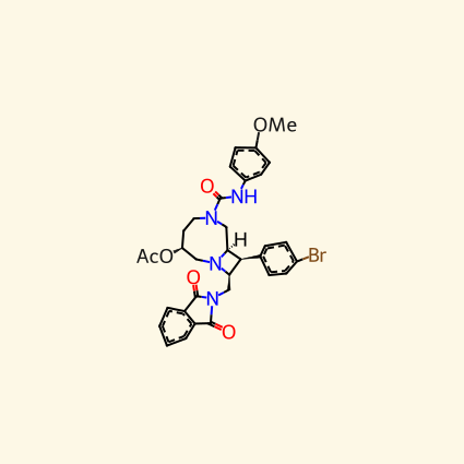 COc1ccc(NC(=O)N2CC[C@H](OC(C)=O)CN3[C@H](CN4C(=O)c5ccccc5C4=O)[C@H](c4ccc(Br)cc4)[C@@H]3C2)cc1